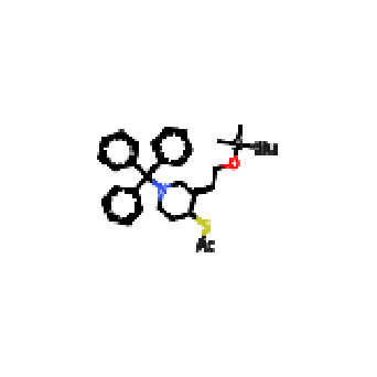 CC(=O)SC1CCN(C(c2ccccc2)(c2ccccc2)c2ccccc2)CC1=CCO[Si](C)(C)C(C)(C)C